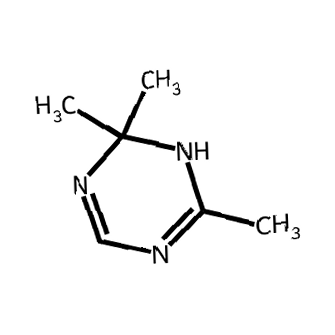 CC1=NC=NC(C)(C)N1